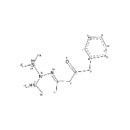 CC(CC(=O)Cc1ccccc1)=NN([SiH](C)C)[SiH](C)C